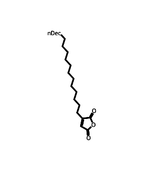 CCCCCCCCCCCCCCCCCCCCCCC1=CC(=O)OC1=O